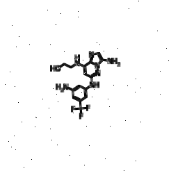 Nc1cc(Nc2cc(NCCO)c3ncc(N)n3n2)cc(C(F)(F)F)c1